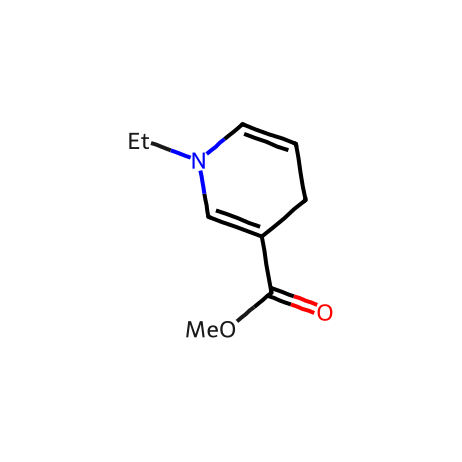 CCN1C=CCC(C(=O)OC)=C1